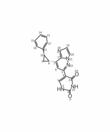 O=c1[nH]cc(-c2cc([C@@H]3C[C@H]3c3ccccc3)c3nccn3n2)c(=O)[nH]1